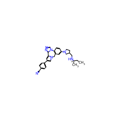 CC[C@@H](C)NCC1CCN(c2ccc3c(c2)Cn2cc(-c4ccc(C#N)cc4)cc2-c2nncn2-3)C1